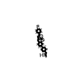 CNCc1ccc(-c2ccc(CN3CC(c4ccc(F)cc4)OC3=O)cc2)cc1